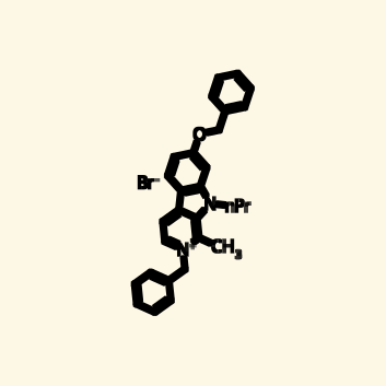 CCCn1c2cc(OCc3ccccc3)ccc2c2cc[n+](Cc3ccccc3)c(C)c21.[Br-]